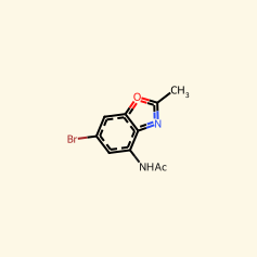 CC(=O)Nc1cc(Br)cc2oc(C)nc12